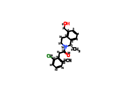 C[C@H]1c2cccc(CO)c2CCN1C(=O)Cc1c(Cl)cccc1C#N